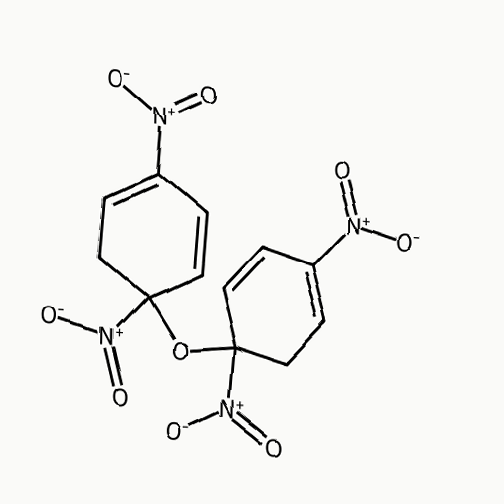 O=[N+]([O-])C1=CCC(OC2([N+](=O)[O-])C=CC([N+](=O)[O-])=CC2)([N+](=O)[O-])C=C1